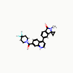 CN1C(=O)c2ccc(-c3ccnc4cc(C(=O)N5CCC(F)(F)CC5)ccc34)cc2C12CC2